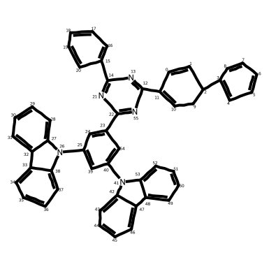 C1=CC(c2ccccc2)CC=C1c1nc(-c2ccccc2)nc(-c2cc(-n3c4ccccc4c4ccccc43)cc(-n3c4ccccc4c4ccccc43)c2)n1